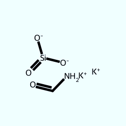 NC=O.O=[Si]([O-])[O-].[K+].[K+]